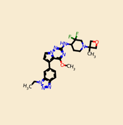 CCn1nnc2ccc(-c3ccn4nc(NC5CCN(C6(C)COC6)CC5(F)F)nc(OC)c34)cc21